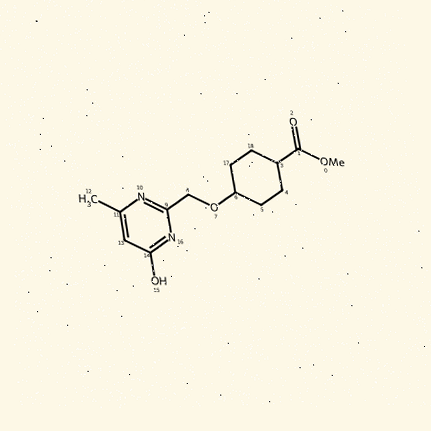 COC(=O)C1CCC(OCc2nc(C)cc(O)n2)CC1